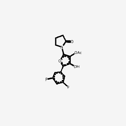 CC(=O)Oc1c(N2CCCC2=O)oc(-c2cc(F)cc(F)c2)c1O